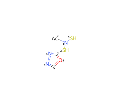 CC(=O)N(S)S.c1nnco1